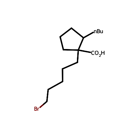 CCCCC1CCCC1(CCCCCBr)C(=O)O